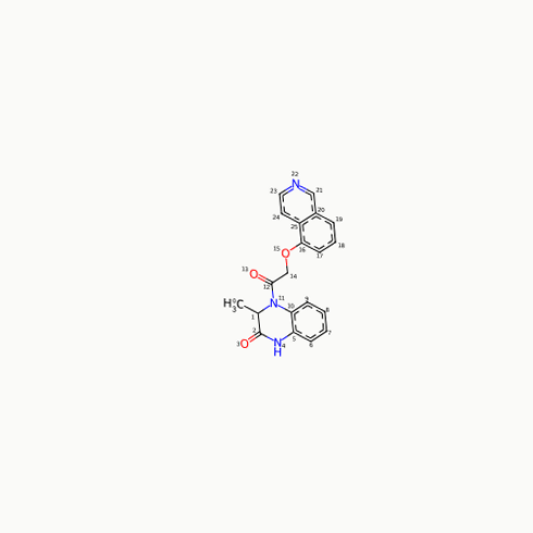 CC1C(=O)Nc2ccccc2N1C(=O)COc1cccc2cnccc12